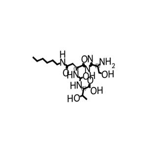 CCCCCCNC(=O)C[C@H](NC(O)N[C@H](C(=O)O)C(C)O)c1nc([C@@H](N)CO)no1